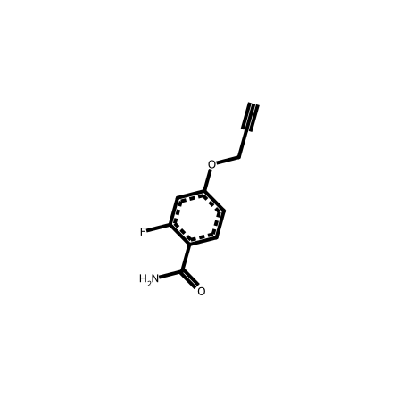 C#CCOc1ccc(C(N)=O)c(F)c1